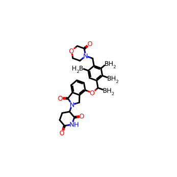 Bc1cc(C(B)Oc2cccc3c2CN(C2CCC(=O)NC2=O)C3=O)c(B)c(B)c1CN1CCOCC1=O